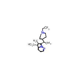 Cc1c(C(=O)O)c2cccnn2c1C(C)C1CCN(CC(F)(F)F)CC1